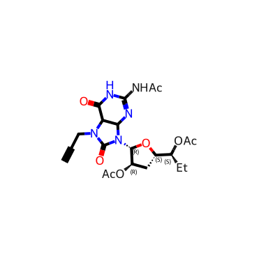 C#CCN1C(=O)N([C@@H]2O[C@H]([C@H](CC)OC(C)=O)C[C@H]2OC(C)=O)C2N=C(NC(C)=O)NC(=O)C21